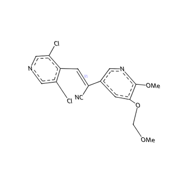 COCOc1cc(/C(C#N)=C/c2c(Cl)cncc2Cl)cnc1OC